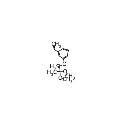 C=Cc1cccc(O[SiH2]C(C)(OC)OC)c1